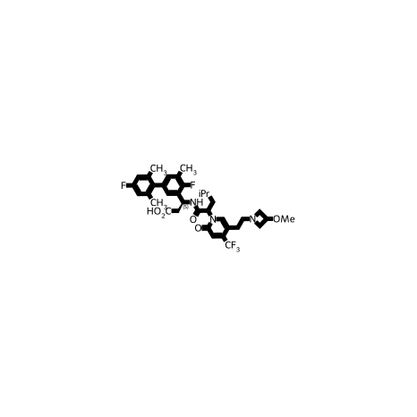 COC1CN(CCc2cn(C(CC(C)C)C(=O)N[C@@H](CC(=O)O)c3cc(-c4c(C)cc(F)cc4C)cc(C)c3F)c(=O)cc2C(F)(F)F)C1